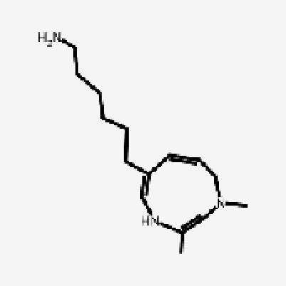 C/C1=C/N(C)C/C=C\C(CCCCCCN)=C/N1